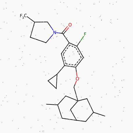 CC1CC2CC(C)CC(COc3cc(F)c(C(=O)N4CCC(C(F)(F)F)C4)cc3C3CC3)(C1)C2